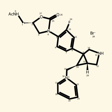 CC(=O)NC[C@H]1CN(c2ccc(C34CNC[C@@H]3[C@H]4C[n+]3ccccc3)cc2F)C(=O)O1.[Br-]